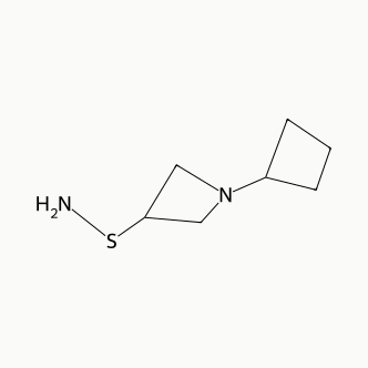 NSC1CN(C2CCC2)C1